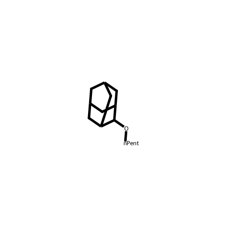 CCCCCOC1C2CC3CC(C2)CC1C3